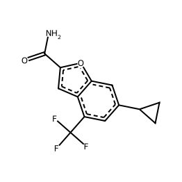 NC(=O)c1cc2c(C(F)(F)F)cc(C3CC3)cc2o1